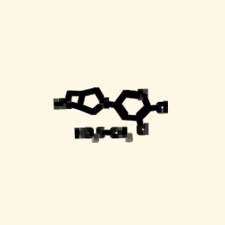 CS(=O)(=O)O.Clc1cc(N2CC3CNC3C2)cnc1Cl